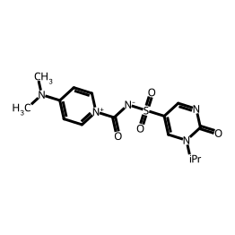 CC(C)n1cc(S(=O)(=O)[N-]C(=O)[n+]2ccc(N(C)C)cc2)cnc1=O